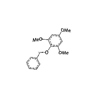 COc1cc(OC)c(O[CH]c2ccccc2)c(OC)c1